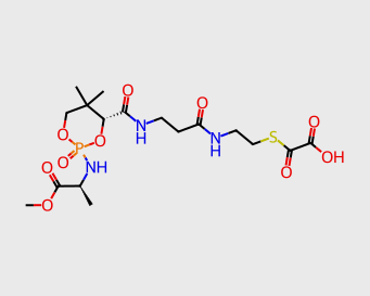 COC(=O)[C@H](C)NP1(=O)OCC(C)(C)[C@H](C(=O)NCCC(=O)NCCSC(=O)C(=O)O)O1